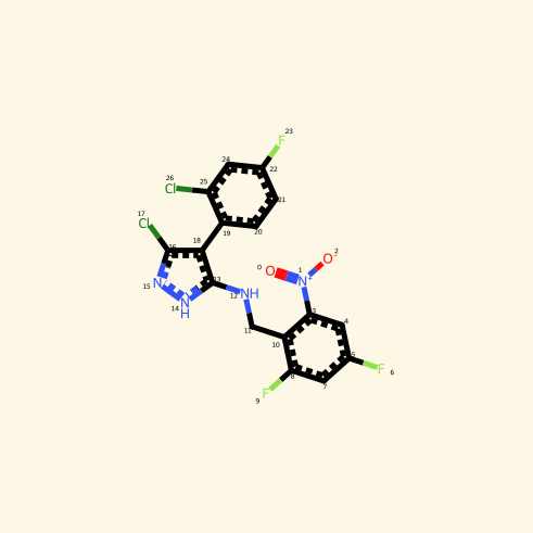 O=[N+]([O-])c1cc(F)cc(F)c1CNc1[nH]nc(Cl)c1-c1ccc(F)cc1Cl